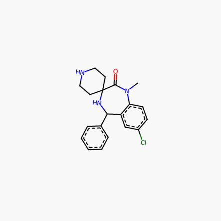 CN1C(=O)C2(CCNCC2)NC(c2ccccc2)c2cc(Cl)ccc21